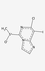 C[S+]([O-])c1nc(Cl)c(I)c2nccn12